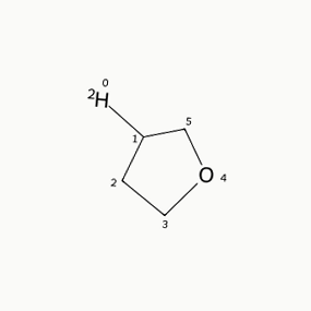 [2H]C1CCOC1